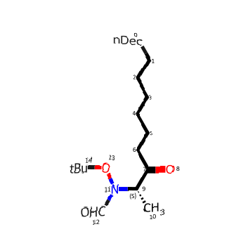 CCCCCCCCCCCCCCCCC(=O)[C@H](C)N(C=O)OC(C)(C)C